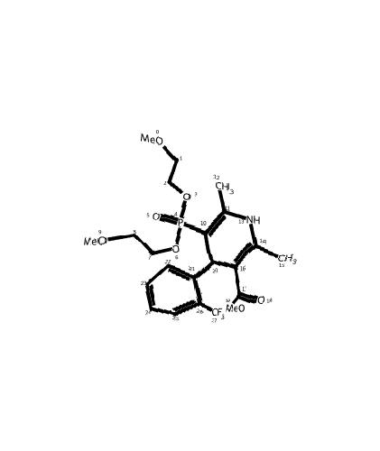 COCCOP(=O)(OCCOC)C1=C(C)NC(C)=C(C(=O)OC)C1c1ccccc1C(F)(F)F